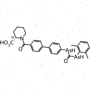 Cc1cccc(C)c1[AsH]C(=O)[AsH]c1ccc(-c2ccc(C(=O)N3CCCC[C@H]3C(=O)O)cc2)cc1